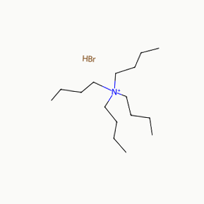 Br.CCCC[N+](CCCC)(CCCC)CCCC